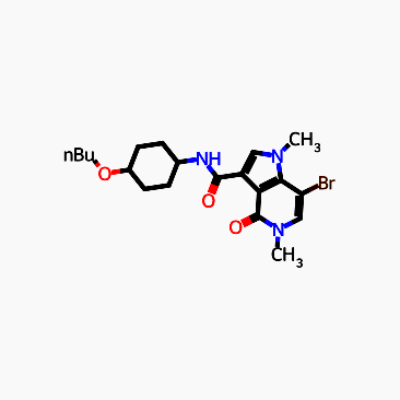 CCCCOC1CCC(NC(=O)c2cn(C)c3c(Br)cn(C)c(=O)c23)CC1